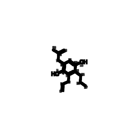 C=CCc1c(O)c(CC(=C)C)cc(O)c1CCC